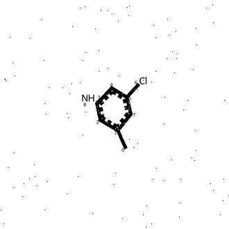 Cc1cccc(Cl)c1.N